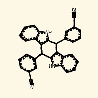 N#Cc1cccc(C2c3[nH]c4ccccc4c3C(c3cccc(C#N)c3)c3[nH]c4ccccc4c32)c1